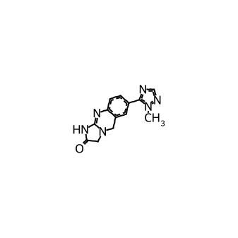 Cn1ncnc1-c1ccc2c(c1)CN1CC(=O)NC1=N2